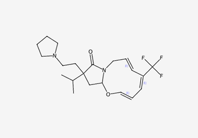 CC(C)C1(CCN2CCCC2)CC2O/C=C/C=C(C(F)(F)F)\C=C\CN2C1=O